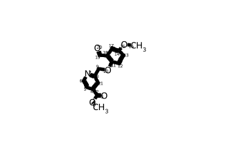 COC(=O)c1ccnc(COc2ccc(OC)cc2C=O)c1